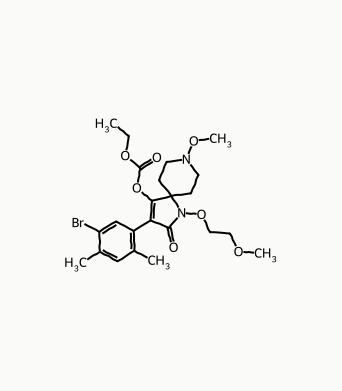 CCOC(=O)OC1=C(c2cc(Br)c(C)cc2C)C(=O)N(OCCOC)C12CCN(OC)CC2